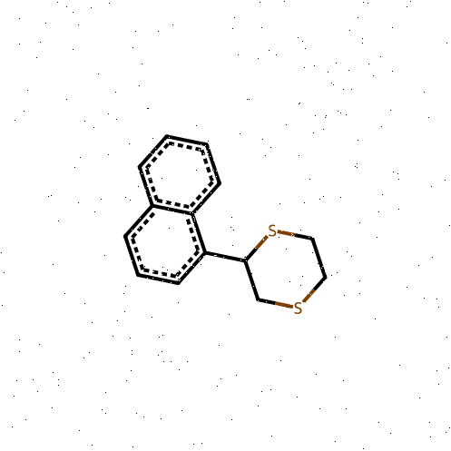 c1ccc2c([C]3CSCCS3)cccc2c1